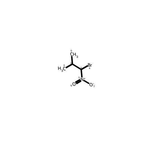 CC(C)C(Br)[N+](=O)[O-]